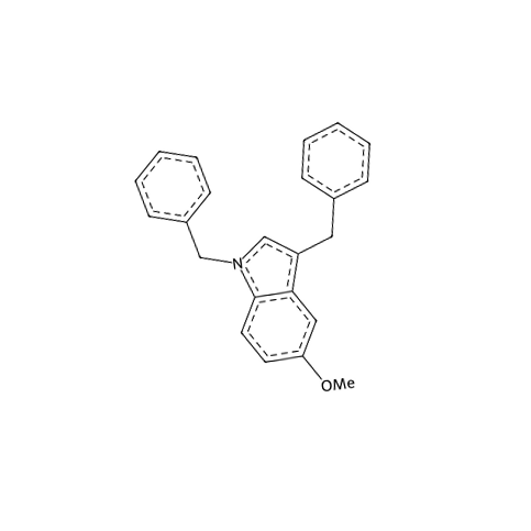 COc1ccc2c(c1)c(Cc1ccccc1)cn2Cc1ccccc1